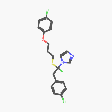 Clc1ccc(CC(Cl)(SCCCOc2ccc(Cl)cc2)n2ccnc2)cc1